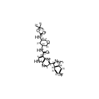 Cn1nc(-c2cnc3[nH]cc(C(=O)NC4COCC(NC(=O)OC(C)(C)C)C4)c3n2)c2ccc(F)cc21